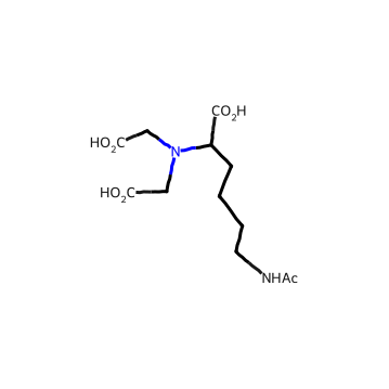 CC(=O)NCCCCC(C(=O)O)N(CC(=O)O)CC(=O)O